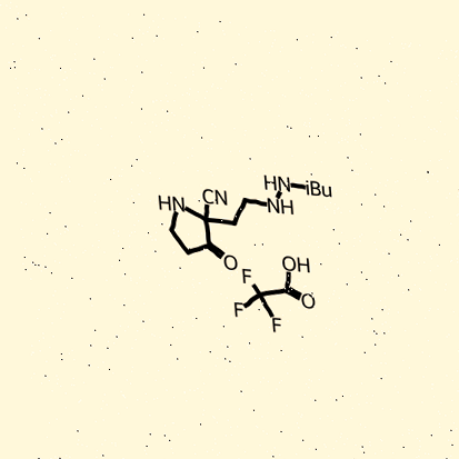 CCC(C)NNCCC1(C#N)NCCC1=O.O=C(O)C(F)(F)F